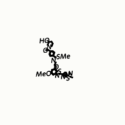 COc1cc(OCC/N=C(\SC)c2ccc(C(=O)N3CCC[C@H](O)C3)cc2)c2sc(-c3cn4nc(C)sc4n3)nc2c1